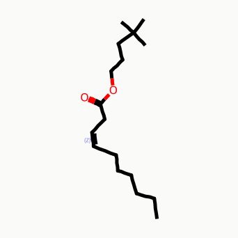 CCCCCC/C=C\CC(=O)OCCCC(C)(C)C